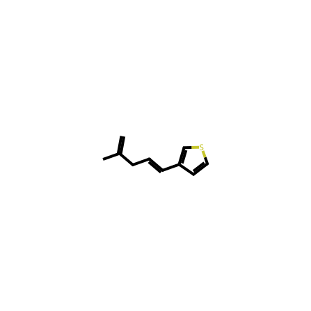 C=C(C)C/C=C/c1ccsc1